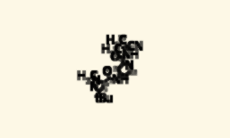 Cn1nc(C(C)(C)C)cc1C(=O)Nc1ccnc(C(=O)NC(C)(C)C#N)c1